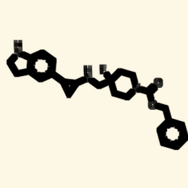 O=C(OCc1ccccc1)N1CCC(F)(CNC2CC2c2ccc3c(c2)CCN3)CC1